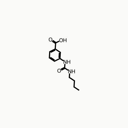 CCCCNC(=O)Nc1cccc(C(=O)O)c1